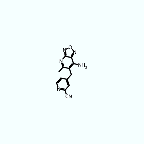 Cc1nc2nonc2c(N)c1Cc1ccnc(C#N)c1